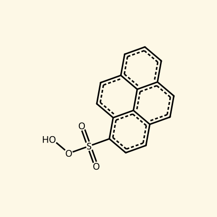 O=S(=O)(OO)c1ccc2ccc3cccc4ccc1c2c34